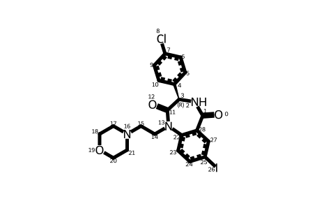 O=C1N[C@H](c2ccc(Cl)cc2)C(=O)N(CCN2CCOCC2)c2ccc(I)cc21